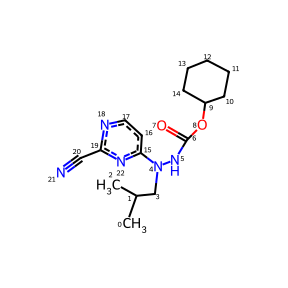 CC(C)CN(NC(=O)OC1CCCCC1)c1ccnc(C#N)n1